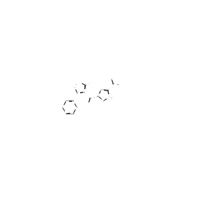 COC(=O)c1cc(C(=O)c2c(-c3cccc(Cl)c3)noc2C)c[nH]1